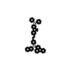 CC1(C)c2cc(/C=C/c3ccc(N(c4ccc5ccccc5c4)c4ccc5c6c(cccc46)-c4ccccc4-5)cc3)ccc2-c2ccc(N(c3ccccc3)c3ccccc3)cc21